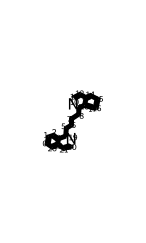 c1ccc2c(CCCCc3nccc4ccccc34)nccc2c1